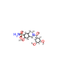 COc1cc(OC)cc(C(=O)N2CCc3cc(S(N)(=O)=O)c(OC)cc3C2)c1